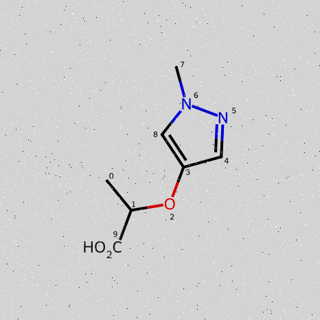 CC(Oc1cnn(C)c1)C(=O)O